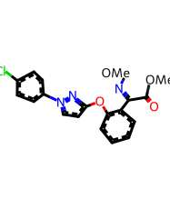 CON=C(C(=O)OC)c1ccccc1Oc1ccn(-c2ccc(Cl)cc2)n1